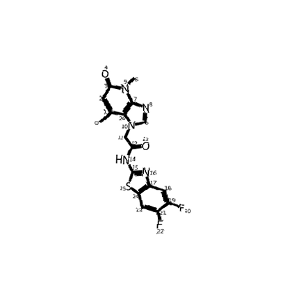 Cc1cc(=O)n(C)c2ncn(CC(=O)Nc3nc4cc(F)c(F)cc4s3)c12